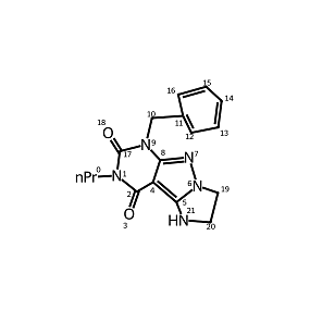 CCCn1c(=O)c2c3n(nc2n(Cc2ccccc2)c1=O)CCN3